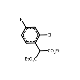 CCOC(=O)C(C(=O)OCC)c1ccc(F)cc1Cl